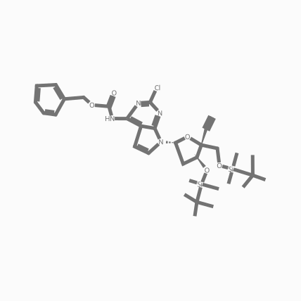 C#C[C@]1(CO[Si](C)(C)C(C)(C)C)O[C@@H](n2ccc3c(NC(=O)OCc4ccccc4)nc(Cl)nc32)C[C@@H]1O[Si](C)(C)C(C)(C)C